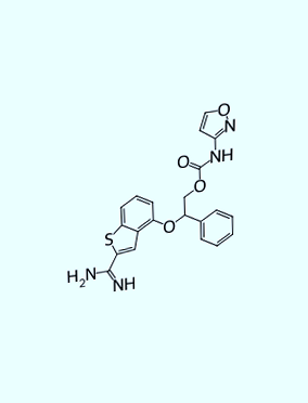 N=C(N)c1cc2c(OC(COC(=O)Nc3ccon3)c3ccccc3)cccc2s1